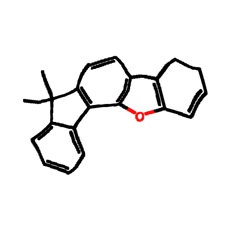 CC1(C)c2ccccc2-c2c1ccc1c3c(oc21)C=CCC3